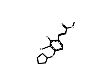 COC(=O)/C=C/c1ccc(OC2CCCC2)c(Cl)c1Cl